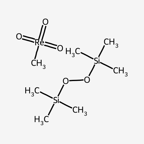 C[Si](C)(C)OO[Si](C)(C)C.[CH3][Re](=[O])(=[O])=[O]